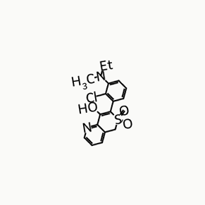 CCN(C)c1cccc(C2=C(O)c3ncccc3CS2(=O)=O)c1Cl